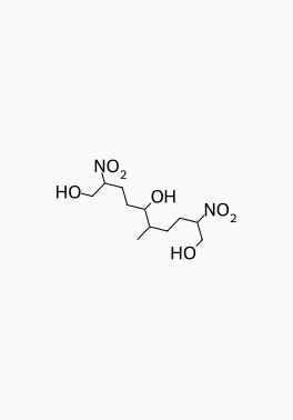 CC(CCC(CO)[N+](=O)[O-])C(O)CCC(CO)[N+](=O)[O-]